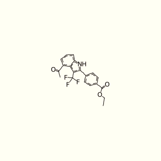 CCOC(=O)c1ccc(-c2[nH]c3cccc(C(C)=O)c3c2C(F)(F)F)cc1